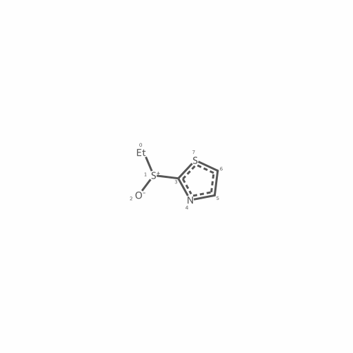 CC[S+]([O-])c1nccs1